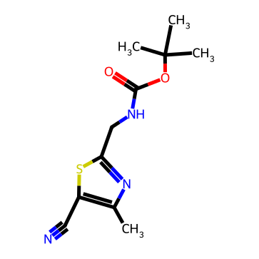 Cc1nc(CNC(=O)OC(C)(C)C)sc1C#N